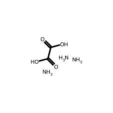 N.N.N.O=C(O)C(=O)O